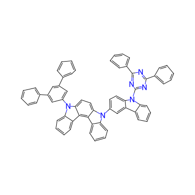 c1ccc(-c2cc(-c3ccccc3)cc(-n3c4ccccc4c4c5c6ccccc6n(-c6ccc7c(c6)c6ccccc6n7-c6nc(-c7ccccc7)nc(-c7ccccc7)n6)c5ccc43)c2)cc1